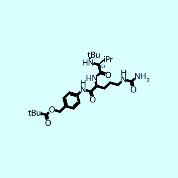 CC(C)[C@H](NC(C)(C)C)C(=O)NC(CCCNC(N)=O)C(=O)Nc1ccc(COC(=O)C(C)(C)C)cc1